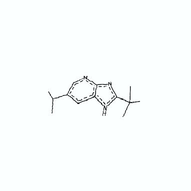 CC(C)c1cnc2nc(C(C)(C)C)[nH]c2c1